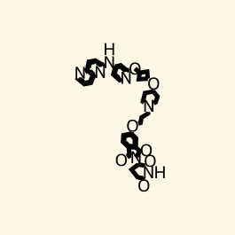 O=C1CCC(N2C(=O)c3ccc(OCCCN4CCC(OC5CC(Oc6cc(Nc7ccc8ncccc8n7)ccn6)C5)CC4)cc3C2=O)C(=O)N1